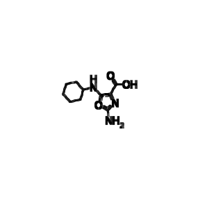 Nc1nc(C(=O)O)c(NC2CCCCC2)o1